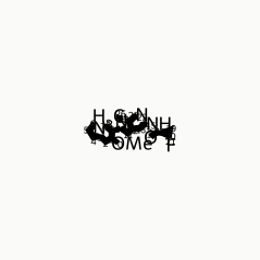 COc1cc2cccn2cc1-c1cc2cc(NC(=O)C3CC3F)ncc2n1C